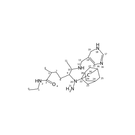 CCNC(=O)C(C)CCC(C(C)NCC1=CN=CNC1)N(N)C12CC3CC(CC1C3)C2